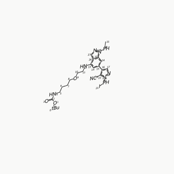 CC(C)(C)OC(=O)NCCCCOCCNc1cc(-c2cnn(PI)c2C#N)cc2c1cnn2PI